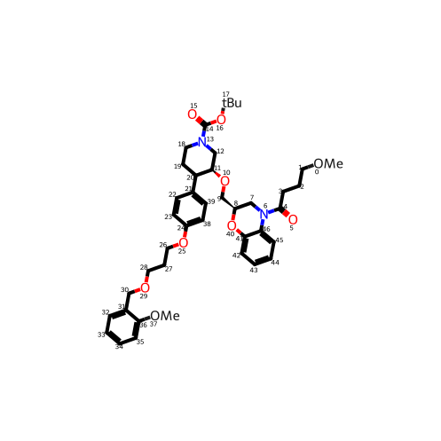 COCCCC(=O)N1C[C@H](CO[C@@H]2CN(C(=O)OC(C)(C)C)CCC2c2ccc(OCCCOCc3ccccc3OC)cc2)Oc2ccccc21